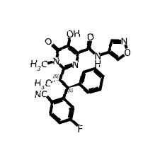 C[C@H](c1nc(C(=O)Nc2cnoc2)c(O)c(=O)n1C)[C@@H](c1ccccc1)c1cc(F)ccc1C#N